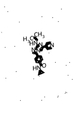 CC(C)CNc1nc(-c2ccncc2)cn2c(-c3ccc(C(=O)NC4CC4)cc3)cnc12